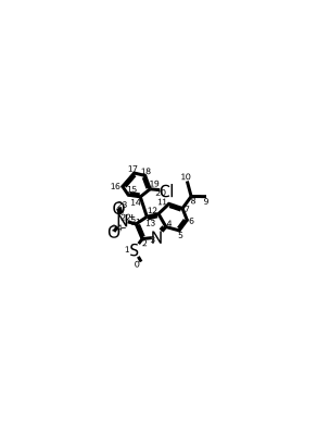 CSc1nc2ccc(C(C)C)cc2c(-c2ccccc2Cl)c1[N+](=O)[O-]